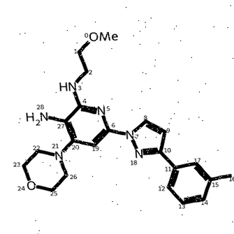 COCCNc1nc(-n2ccc(-c3cccc(C)c3)n2)cc(N2CCOCC2)c1N